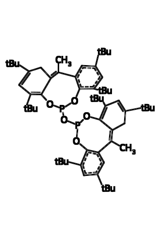 C/C1=C2\CC(C(C)(C)C)=CC(C(C)(C)C)=C2OP(OP2OC3=C(C(C)(C)C)C=C(C(C)(C)C)C/C3=C(\C)c3cc(C(C)(C)C)cc(C(C)(C)C)c3O2)Oc2c1cc(C(C)(C)C)cc2C(C)(C)C